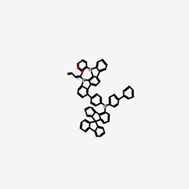 C=C/C=C(\C=C)n1c2cccc(-c3ccc(N(c4ccc(-c5ccccc5)cc4)c4cccc5c4-c4ccccc4C54c5ccccc5-c5ccccc54)cc3)c2c2ccc3c4ccccc4n(-c4ccccc4)c3c21